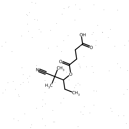 CCC(OC(=O)CCC(=O)O)C(C)(C)C#N